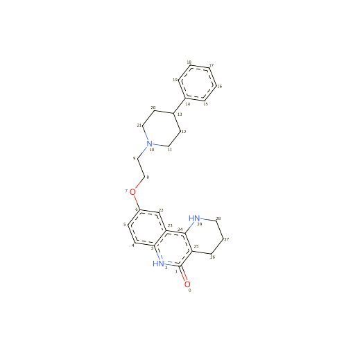 O=c1[nH]c2ccc(OCCN3CCC(c4ccccc4)CC3)cc2c2c1CCCN2